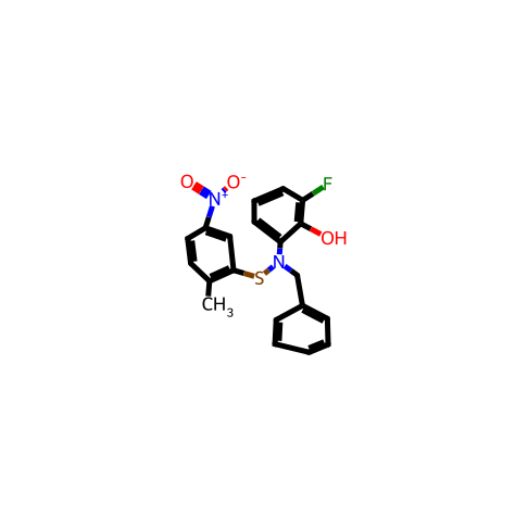 Cc1ccc([N+](=O)[O-])cc1SN(Cc1ccccc1)c1cccc(F)c1O